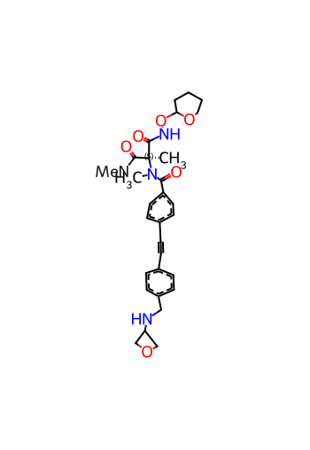 CNC(=O)[C@@](C)(C(=O)NOC1CCCCO1)N(C)C(=O)c1ccc(C#Cc2ccc(CNC3COC3)cc2)cc1